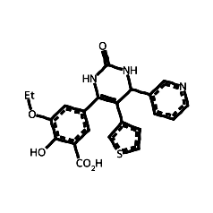 CCOc1cc(C2=C(c3ccsc3)C(c3cccnc3)NC(=O)N2)cc(C(=O)O)c1O